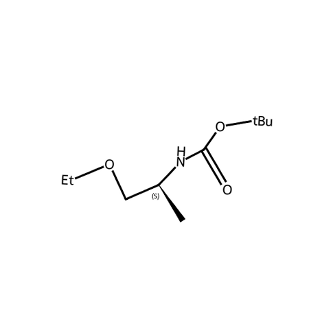 CCOC[C@H](C)NC(=O)OC(C)(C)C